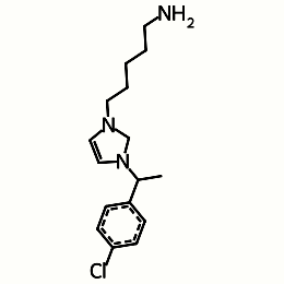 CC(c1ccc(Cl)cc1)N1C=CN(CCCCCN)C1